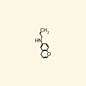 C=CCNc1ccc2c(c1)CC=CO2